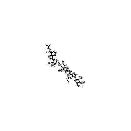 C=C(C)CCNc1ncnc2c1ncn2[C@@H]1O[C@H](COSC[C@](NC(=O)Nc2nc(SC)nc3c2ncn3[C@@H]2O[C@H](CO)[C@@H](O)[C@H]2O)(C(=O)O)[C@@H](C)O)[C@@H](O)[C@H]1O